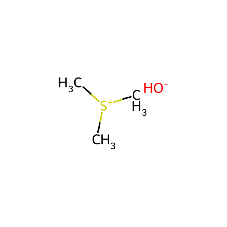 C[S+](C)C.[OH-]